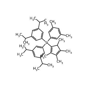 CC1=C(C)C(C)C([Si](c2cc(C)cc(C)c2)(c2cc(C(C)C)cc(C(C)C)c2)c2cc(C(C)C)cc(C(C)C)c2)=C1C